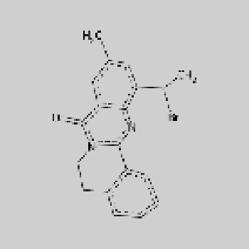 Cc1cc(C(C)Br)c2nc3n(c(=O)c2c1)CCc1ccccc1-3